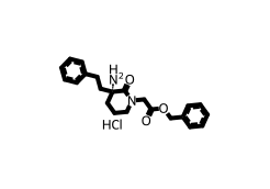 Cl.N[C@@]1(CCc2ccccc2)CCCN(CC(=O)OCc2ccccc2)C1=O